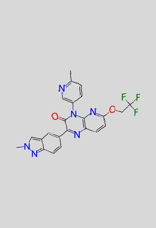 Cc1ccc(-n2c(=O)c(-c3ccc4nn(C)cc4c3)nc3ccc(OCC(F)(F)F)nc32)cn1